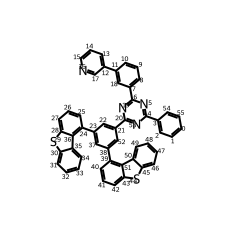 c1ccc(-c2nc(-c3cccc(-c4cccnc4)c3)nc(-c3cc(-c4cccc5sc6ccccc6c45)cc(-c4cccc5sc6ccccc6c45)c3)n2)cc1